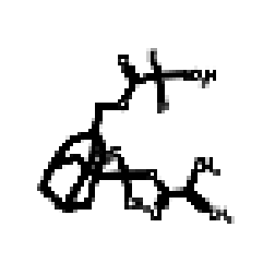 C=C(C)C(=O)OC(C)(C)C12CC3CC(CC(COC(=O)C(F)(F)S(=O)(=O)O)(C3)C1)C2